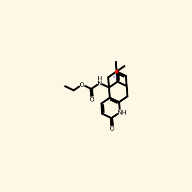 C/C=C1\C2C=C(C)CC1(NC(=O)OCC)c1ccc(=O)[nH]c1C2